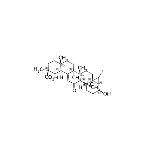 C[C@]1(C(=O)O)CC[C@]2(C)CC[C@]3(C)C(=CC(=O)[C@@H]4[C@@]5(C)CC[C@H](O)[C@]6(C)C(I)[C@]65CC[C@]43C)[C@H]2C1